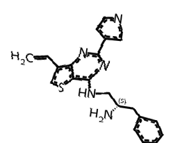 C=Cc1csc2c(NC[C@@H](N)Cc3ccccc3)nc(-c3ccncc3)nc12